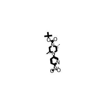 C[C@@H]1CN(c2ccc([N+](=O)[O-])nc2)[C@@H](C)CN1C(=O)OC(C)(C)C